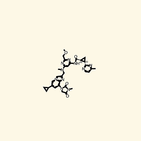 COCc1nc(NC(=O)[C@H]2C[C@@H]2c2nccc(C)n2)cc(N(C)Cc2cn3cc(C4CC4)cc(N4CC(=O)N(C)C4=O)c3n2)n1